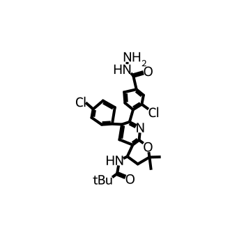 CC1(C)CC(NC(=O)C(C)(C)C)c2cc(-c3ccc(Cl)cc3)c(-c3ccc(C(=O)NN)cc3Cl)nc2O1